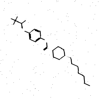 CCCCCCC[C@H]1CC[C@H](C(=O)Oc2ccc(OC(F)C(F)(F)F)cc2)CC1